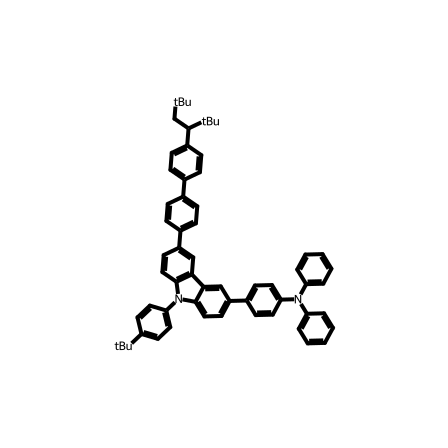 CC(C)(C)CC(c1ccc(-c2ccc(-c3ccc4c(c3)c3cc(-c5ccc(N(c6ccccc6)c6ccccc6)cc5)ccc3n4-c3ccc(C(C)(C)C)cc3)cc2)cc1)C(C)(C)C